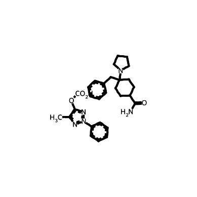 Cc1nn(-c2ccccc2)nc1OC(=O)O.NC(=O)C1CCC(Cc2ccccc2)(N2CCCC2)CC1